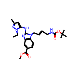 CCn1nc(C)cc1Nc1nc2cc(C(=O)OC)ccc2n1C/C=C/CNC(=O)OC(C)(C)C